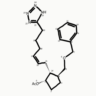 CC(=O)O[C@H]1CC[C@H](COCc2ccccc2)[C@H]1C/C=C\CCCc1nnn[nH]1